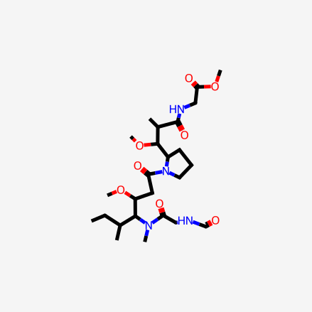 CCC(C)C(C(CC(=O)N1CCCC1C(OC)C(C)C(=O)NCC(=O)OC)OC)N(C)C(=O)CNC=O